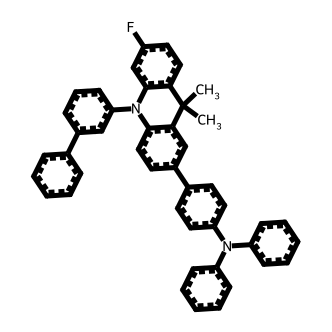 CC1(C)c2ccc(F)cc2N(c2cccc(-c3ccccc3)c2)c2ccc(-c3ccc(N(c4ccccc4)c4ccccc4)cc3)cc21